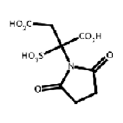 O=C(O)CC(C(=O)O)(N1C(=O)CCC1=O)S(=O)(=O)O